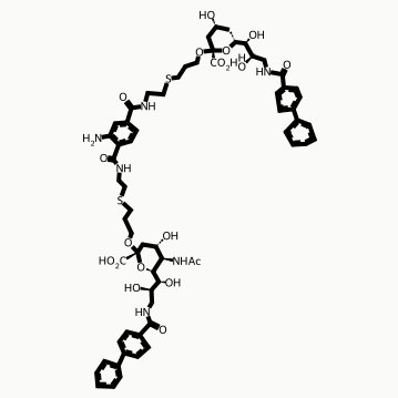 CC(=O)N[C@H]1[C@H]([C@H](O)[C@H](O)CNC(=O)c2ccc(-c3ccccc3)cc2)O[C@@](OCCCSCCNC(=O)c2ccc(C(=O)NCCSCCCO[C@]3(C(=O)O)C[C@H](O)C[C@H]([C@H](O)[C@H](O)CNC(=O)c4ccc(-c5ccccc5)cc4)O3)cc2N)(C(=O)O)C[C@@H]1O